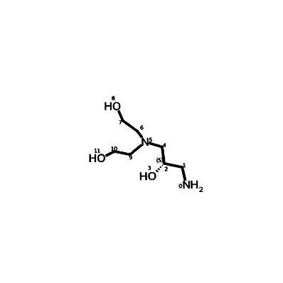 NC[C@H](O)CN(CCO)CCO